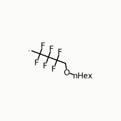 [CH2]C(F)(F)C(F)(F)C(F)(F)COCCCCCC